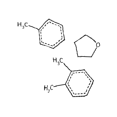 C1CCOC1.Cc1ccccc1.Cc1ccccc1C